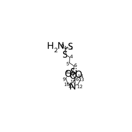 NC(=S)SCCC[Si]12OCCN(CCO1)CCO2